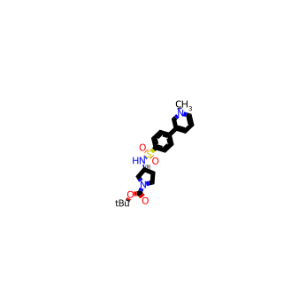 CN1C=CC=C(c2ccc(S(=O)(=O)N[C@@H]3CCN(C(=O)OC(C)(C)C)C3)cc2)C1